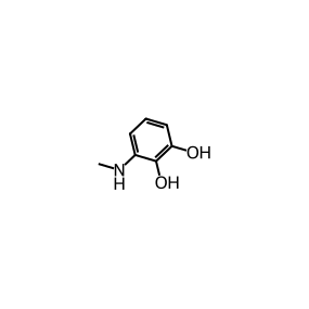 CNc1cccc(O)c1O